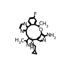 CC(=N)/C1=C(\NCC2CC2)c2cnc(N)c(c2)OC(C)c2cc(F)ccc2-c2nccnc2C1